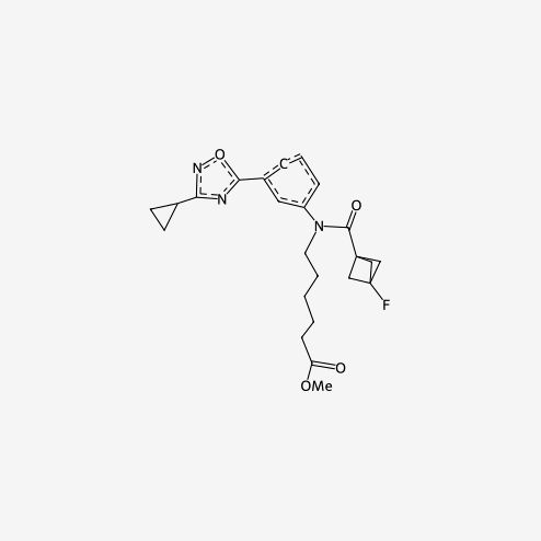 COC(=O)CCCCCN(C(=O)C12CC(F)(C1)C2)c1cccc(-c2nc(C3CC3)no2)c1